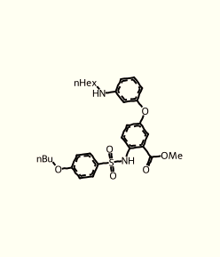 CCCCCCNc1cccc(Oc2ccc(NS(=O)(=O)c3ccc(OCCCC)cc3)c(C(=O)OC)c2)c1